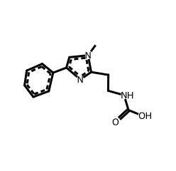 Cn1cc(-c2ccccc2)nc1CCNC(=O)O